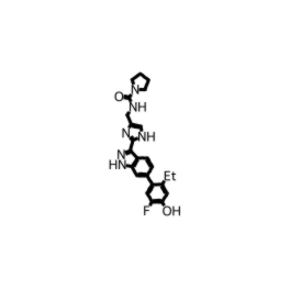 CCc1cc(O)c(F)cc1-c1ccc2c(-c3nc(CNC(=O)N4CCCC4)c[nH]3)n[nH]c2c1